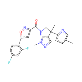 Cc1ccc(C(C)(CNC(=O)c2cc(-c3ccc(F)cc3F)on2)c2cnn(C)c2)nc1